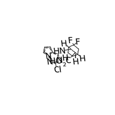 O=C(O)[C@H]1[C@H]2CC[C@@H]([C@@H]1Nc1nc(Cl)nn3cccc13)C(F)(F)C2